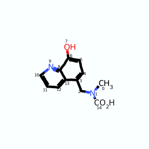 CN(Cc1ccc(O)c2ncccc12)C(=O)O